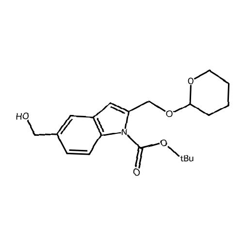 CC(C)(C)OC(=O)n1c(COC2CCCCO2)cc2cc(CO)ccc21